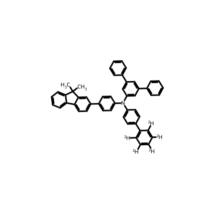 [2H]c1c([2H])c([2H])c(-c2ccc(N(c3ccc(-c4ccc5c(c4)C(C)(C)c4ccccc4-5)cc3)c3cc(-c4ccccc4)cc(-c4ccccc4)c3)cc2)c([2H])c1[2H]